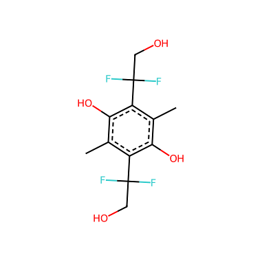 Cc1c(O)c(C(F)(F)CO)c(C)c(O)c1C(F)(F)CO